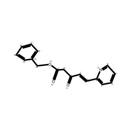 O=C(C=Cc1ccccn1)CC(=O)OCc1ccccc1